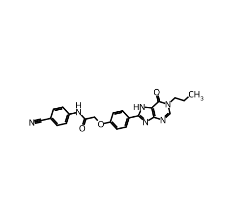 CCCn1cnc2nc(-c3ccc(OCC(=O)Nc4ccc(C#N)cc4)cc3)[nH]c2c1=O